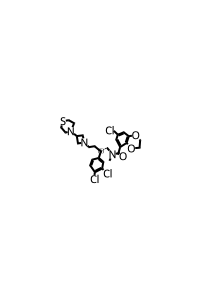 CN(C[C@@H](CCN1CC(N2CCSCC2)C1)c1ccc(Cl)c(Cl)c1)C(=O)c1cc(Cl)cc2c1OCCO2